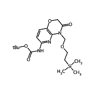 CC(C)(C)OC(=O)Nc1ccc2c(n1)N(COCC[Si](C)(C)C)C(=O)CO2